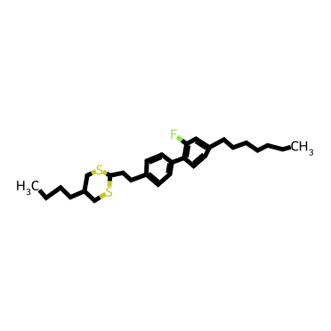 CCCCCCCc1ccc(-c2ccc(CCC3SCC(CCCC)CS3)cc2)c(F)c1